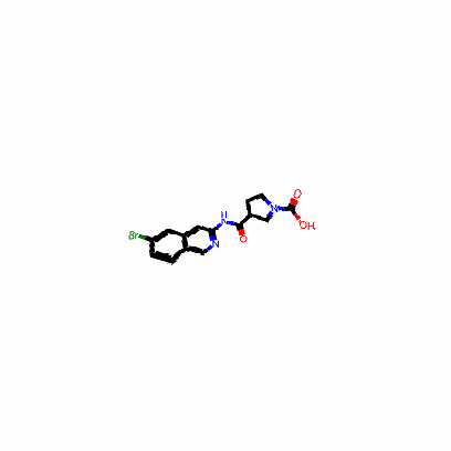 O=C(Nc1cc2cc(Br)ccc2cn1)C1CCN(C(=O)O)C1